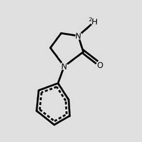 [2H]N1CCN(c2ccccc2)C1=O